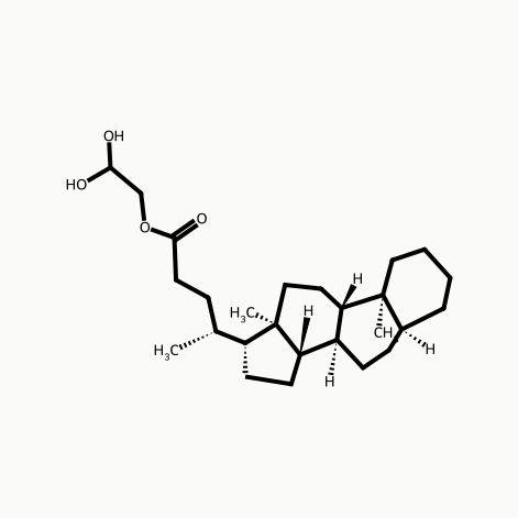 C[C@H](CCC(=O)OCC(O)O)[C@H]1CC[C@H]2[C@@H]3CC[C@@H]4CCCC[C@]4(C)[C@H]3CC[C@]12C